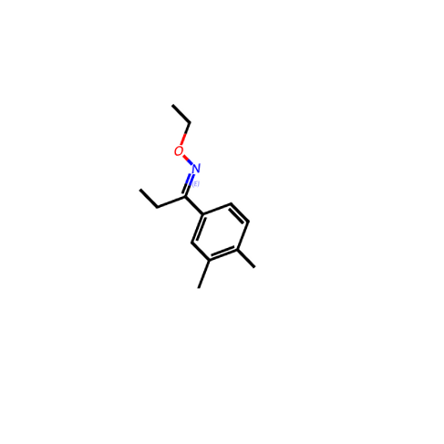 CCO/N=C(\CC)c1ccc(C)c(C)c1